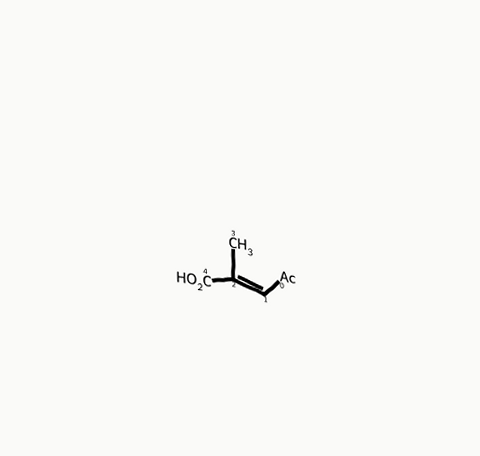 CC(=O)/C=C(\C)C(=O)O